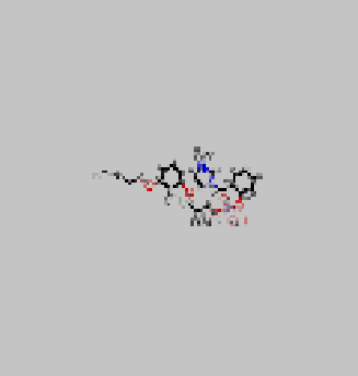 CCCCCCCCCCCCOc1cccc(OCC(COP(=O)(O)Oc2ccccc2CN2[CH]N(CCC)C=C2)OC)c1C